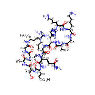 CC(C)C[C@H](NC(=O)[C@H](C)NC(=O)[C@H](CC(=O)O)NC(=O)[C@@H](NC(=O)[C@@H](NC(=O)[C@H](CCC(=O)O)NC(=O)[C@H](CCC(N)=O)NC(=O)[C@H](CCCN=C(N)N)NC(=O)[C@H](Cc1cnc[nH]1)NC(=O)[C@H](CC(C)C)NC(=O)[C@H](C)NC(=O)[C@H](CCCCN)NC(=O)[C@@H](N)CCCCN)[C@@H](C)O)C(C)C)C(=O)O